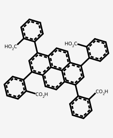 O=C(O)c1ccccc1-c1cc(-c2ccccc2C(=O)O)c2ccc3c(-c4ccccc4C(=O)O)cc(-c4ccccc4C(=O)O)c4ccc1c2c43